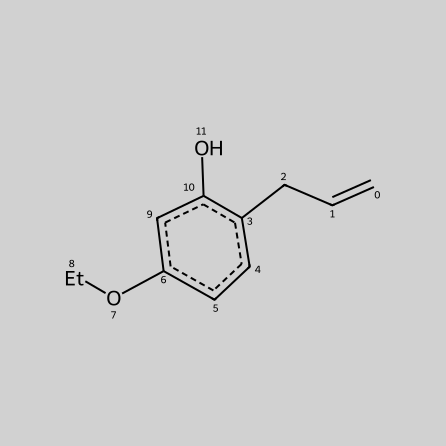 C=CCc1ccc(OCC)cc1O